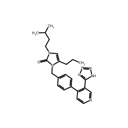 CCCc1cn(CCC(C)C)c(=O)n1Cc1ccc(-c2ccncc2-c2nnn[nH]2)cc1